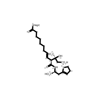 CCCCCCCC(=O)CCCCCC/C=C/[C@H](C(=O)N[C@@H](CC1=CCCS1)C(=O)O)[C@@](O)(CC(=O)O)C(=O)O